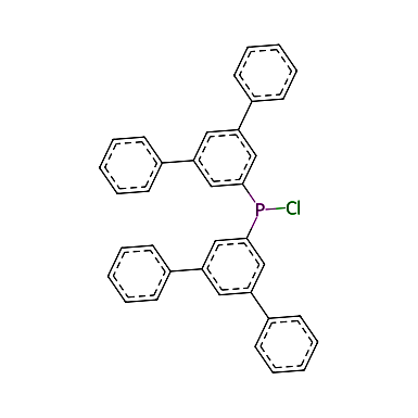 ClP(c1cc(-c2ccccc2)cc(-c2ccccc2)c1)c1cc(-c2ccccc2)cc(-c2ccccc2)c1